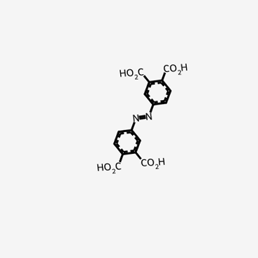 O=C(O)c1ccc(/N=N/c2ccc(C(=O)O)c(C(=O)O)c2)cc1C(=O)O